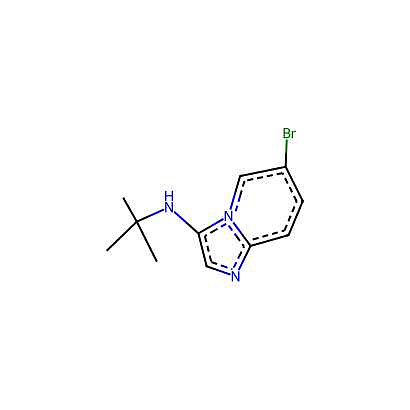 CC(C)(C)Nc1cnc2ccc(Br)cn12